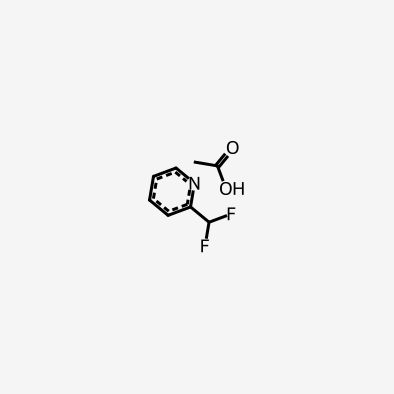 CC(=O)O.FC(F)c1ccccn1